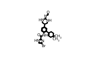 CC1(C)CC=C(c2cc(C3CNC(=NC=O)NC3)ccc2NC(=O)c2nc(Br)c[nH]2)CC1